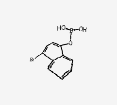 OB(O)Oc1ccc(Br)c2ccccc12